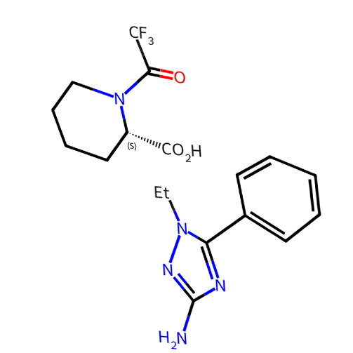 CCn1nc(N)nc1-c1ccccc1.O=C(O)[C@@H]1CCCCN1C(=O)C(F)(F)F